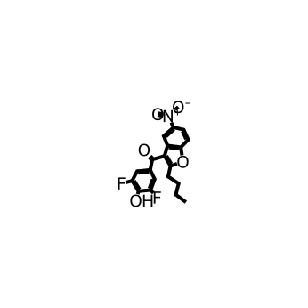 CCCCc1oc2ccc([N+](=O)[O-])cc2c1C(=O)c1cc(F)c(O)c(F)c1